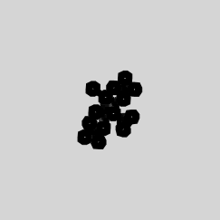 c1ccc(-c2ccc3c(c2)B2c4ccccc4N(c4cccc([Si](c5ccccc5)(c5ccccc5)c5ccccc5)c4)c4cc(-n5c6ccccc6c6ccccc65)cc(c42)N3c2cccc([Si](c3ccccc3)(c3ccccc3)c3ccccc3)c2)cc1